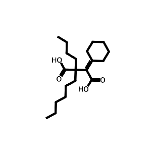 CCCCCCC(CCCC)(C(=O)O)C(C(=O)O)=C1CCCCC1